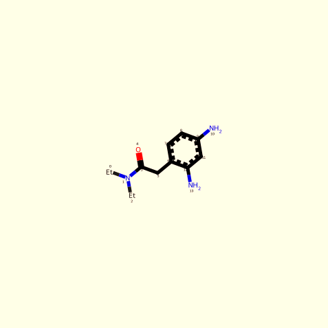 CCN(CC)C(=O)Cc1ccc(N)cc1N